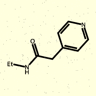 CCNC(=O)Cc1ccncc1